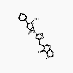 Cn1cnc2ncn(Cc3nc([C@H]4C5[C@H](O)C(c6ccccc6)=C[C@@H]54)no3)c(=O)c21